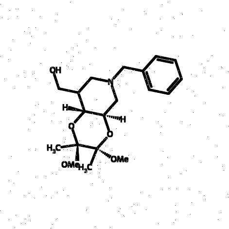 CO[C@@]1(C)O[C@@H]2C(CO)CN(Cc3ccccc3)C[C@H]2O[C@]1(C)OC